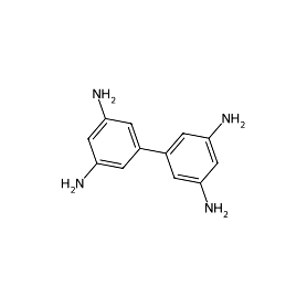 Nc1cc(N)cc(-c2cc(N)cc(N)c2)c1